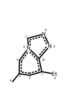 CCc1cc(C)cn2cnnc12